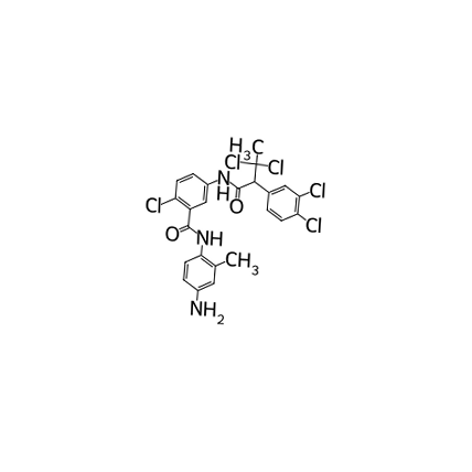 Cc1cc(N)ccc1NC(=O)c1cc(NC(=O)C(c2ccc(Cl)c(Cl)c2)C(C)(Cl)Cl)ccc1Cl